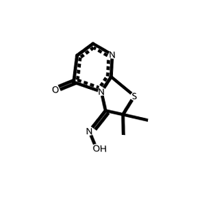 CC1(C)Sc2nccc(=O)n2C1=NO